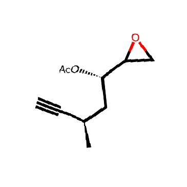 C#C[C@H](C)C[C@H](OC(C)=O)C1CO1